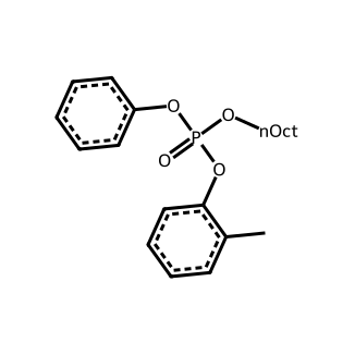 CCCCCCCCOP(=O)(Oc1ccccc1)Oc1ccccc1C